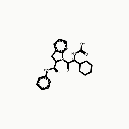 O=C(O)N[C@H](C(=O)N1c2ncccc2CC1C(=O)Nc1ccccc1)C1CCCCC1